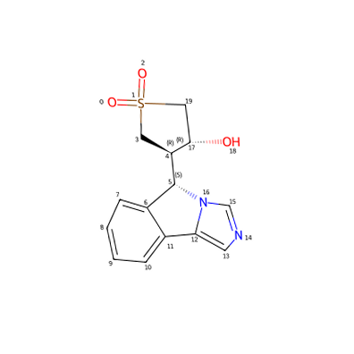 O=S1(=O)C[C@H]([C@H]2c3ccccc3-c3cncn32)[C@@H](O)C1